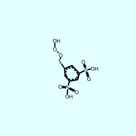 O=S(=O)(O)c1cc(SOOO)cc(S(=O)(=O)O)c1